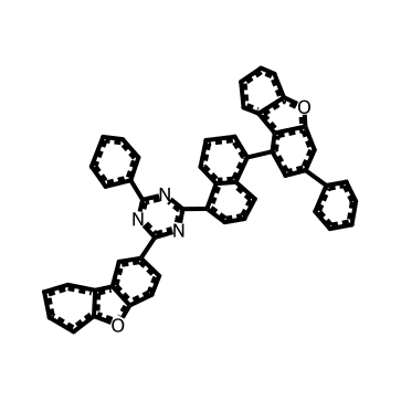 c1ccc(-c2cc(-c3cccc4c(-c5nc(-c6ccccc6)nc(-c6ccc7oc8ccccc8c7c6)n5)cccc34)c3c(c2)oc2ccccc23)cc1